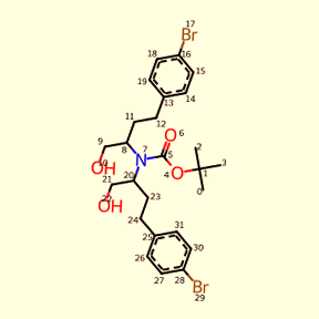 CC(C)(C)OC(=O)N(C(CO)CCc1ccc(Br)cc1)C(CO)CCc1ccc(Br)cc1